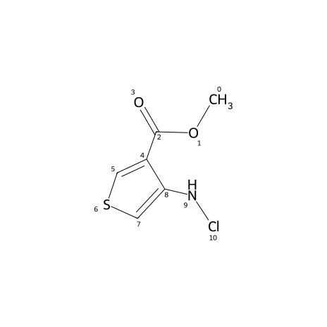 COC(=O)c1cscc1NCl